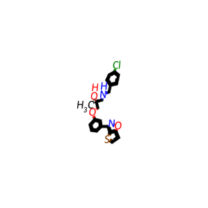 C[C@](O)(CNCc1ccc(Cl)cc1)COc1cccc(-c2noc3ccsc23)c1